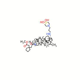 C=C(C)[C@@H]1CC[C@]2(CNCCCN3CCS(O)(O)CC3)CC[C@]3(C)[C@H](CC[C@@H]4[C@@]5(C)CCN(C(=O)CC6(CC(=O)OC)CCCC6)C(C)(C)[C@@H]5CC[C@]43C)[C@@H]12